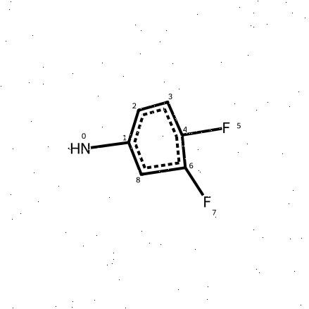 [NH]c1ccc(F)c(F)c1